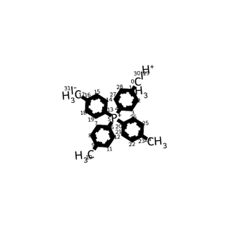 Cc1ccc([P+](c2ccc(C)cc2)(c2ccc(C)cc2)c2ccc(C)cc2)cc1.[H+].[I-].[I-]